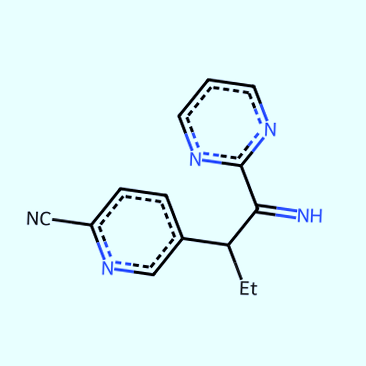 CCC(C(=N)c1ncccn1)c1ccc(C#N)nc1